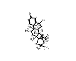 CC1(C)O[C@@H]2C[C@H]3[C@@H]4C[C@H](F)C5=CC(=O)C=C[C@]5(C)[C@H]4[C@@H](O)C[C@]3(C)[C@]2(C(=O)C(Br)Br)O1